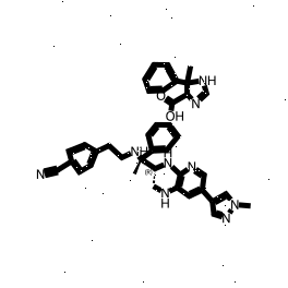 CC1(c2ccccc2)NC=NC1C(=O)O.Cn1cc(-c2cnc3c(c2)NC[C@H]([C@](C)(NCCc2ccc(C#N)cc2)c2ccccc2)N3)cn1